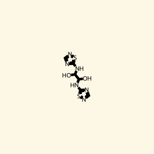 OC(Nc1ncns1)C(O)Nc1ncns1